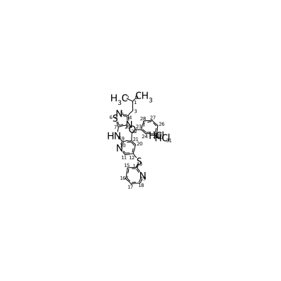 CC(C)Cc1nsc(Nc2ncc(Sc3ccccn3)cc2Oc2ccccc2)n1.Cl.Cl